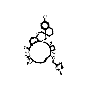 CC[C@@H]1CC/C=C/[C@H](OCc2ncn(C)n2)[C@@H]2CC[C@H]2CN2C[C@@]3(CCCc4cc(Cl)ccc43)COc3ccc(cc32)C(=O)NS1(=O)=O